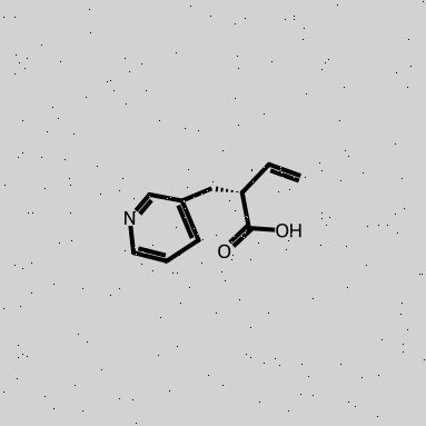 C=C[C@@H](Cc1cccnc1)C(=O)O